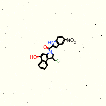 O=C(c1cc2cc([N+](=O)[O-])ccc2[nH]1)N1CC(CCl)c2c1cc(O)c1ccccc21